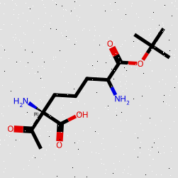 CC(=O)[C@](N)(CCCC(N)C(=O)OC(C)(C)C)C(=O)O